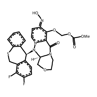 COC(=O)OCOc1c2n(cc/c1=N\O)N([C@@H]1c3ccccc3SCc3c1ccc(F)c3F)[C@@H]1COCCN1C2=O